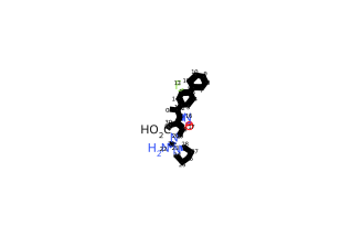 CC(c1ccc(-c2ccccc2)c(F)c1)c1noc(CN=C(N)N2CCCCC2)c1CC(=O)O